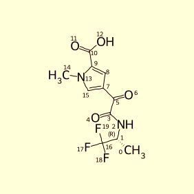 C[C@@H](NC(=O)C(=O)c1cc(C(=O)O)n(C)c1)C(F)(F)F